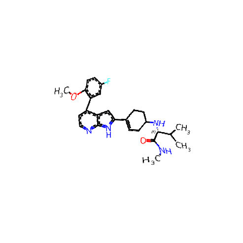 CNC(=O)[C@H](NC1CC=C(c2cc3c(-c4cc(F)ccc4OC)ccnc3[nH]2)CC1)C(C)C